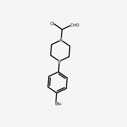 CC(C)(C)c1ccc(N2CCN(C(Cl)C=O)CC2)cc1